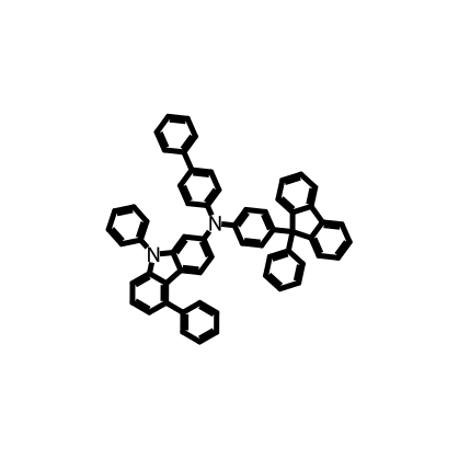 c1ccc(-c2ccc(N(c3ccc(C4(c5ccccc5)c5ccccc5-c5ccccc54)cc3)c3ccc4c5c(-c6ccccc6)cccc5n(-c5ccccc5)c4c3)cc2)cc1